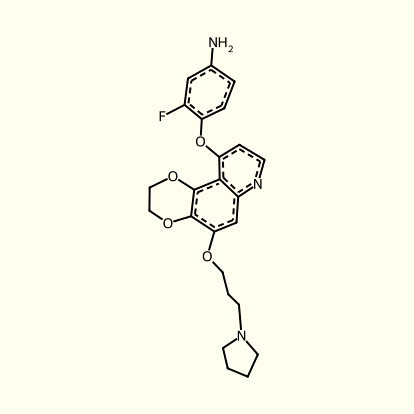 Nc1ccc(Oc2ccnc3cc(OCCCN4CCCC4)c4c(c23)OCCO4)c(F)c1